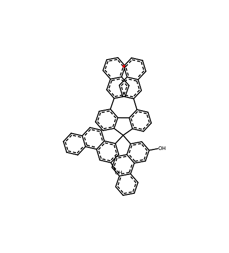 Oc1cc(C2(c3cc(O)cc4c3ccc3ccccc34)c3cccc(-c4ccc5ccccc5c4)c3-c3c(-c4ccc5ccccc5c4)cccc32)c2ccc3ccccc3c2c1